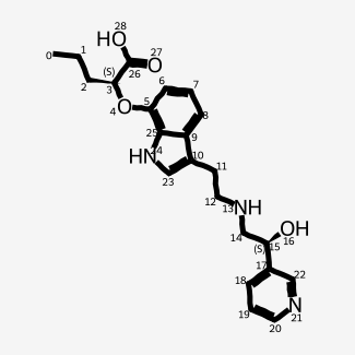 CCC[C@H](Oc1cccc2c(CCNC[C@@H](O)c3cccnc3)c[nH]c12)C(=O)O